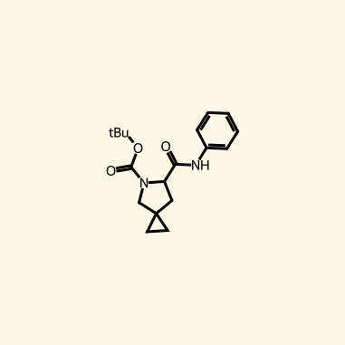 CC(C)(C)OC(=O)N1CC2(CC2)CC1C(=O)Nc1ccccc1